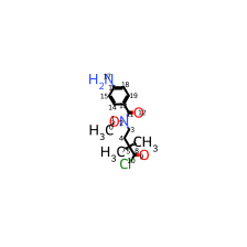 CON(CCC(C)(C)C(=O)Cl)C(=O)c1ccc(N)cc1